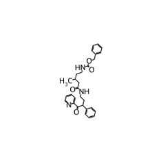 CC(CCNC(=O)OCc1ccccc1)CC(=O)NCCC(C(=O)c1ccccn1)c1ccccc1